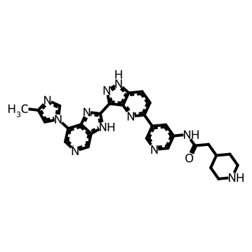 Cc1cn(-c2cncc3[nH]c(-c4n[nH]c5ccc(-c6cncc(NC(=O)CC7CCNCC7)c6)nc45)nc23)cn1